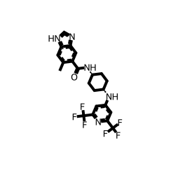 Cc1cc2[nH]cnc2cc1C(=O)N[C@H]1CC[C@@H](Nc2cc(C(F)(F)F)nc(C(F)(F)F)c2)CC1